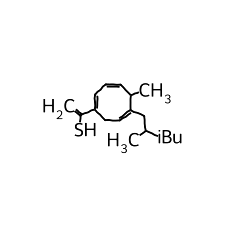 C=C(S)/C1=C/C=C\C(C)/C(CC(C)C(C)CC)=C\C1